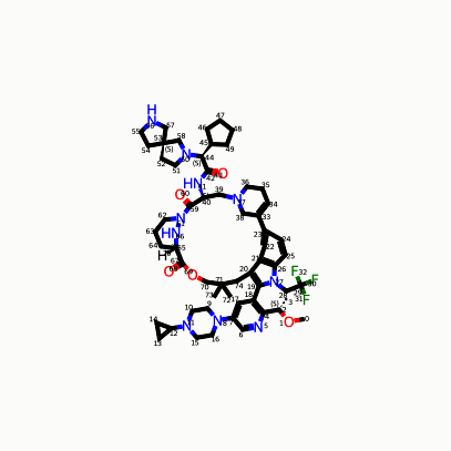 CO[C@@H](C)c1ncc(N2CCN(C3CC3)CC2)cc1-c1c2c3cc(ccc3n1CC(F)(F)F)C1=CCCN(C1)C[C@H](NC(=O)[C@H](C1CCCC1)N1CC[C@]3(CCNC3)C1)C(=O)N1CCC[C@H](N1)C(=O)OCC(C)(C)C2